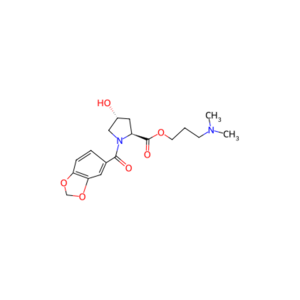 CN(C)CCCOC(=O)[C@@H]1C[C@@H](O)CN1C(=O)c1ccc2c(c1)OCO2